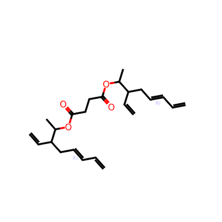 C=C/C=C/CC(C=C)C(C)OC(=O)CCC(=O)OC(C)C(C=C)C/C=C/C=C